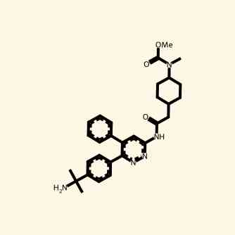 COC(=O)N(C)C1CCC(CC(=O)Nc2cc(-c3ccccc3)c(-c3ccc(C(C)(C)N)cc3)nn2)CC1